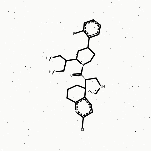 CCC(CC)C1CC(c2ccccc2F)CCN1C(=O)[C@@H]1CNC[C@]12CCCc1nc(Cl)ccc12